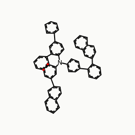 c1ccc(-c2ccc(N(c3ccc(-c4ccccc4-c4ccc5ccccc5c4)cc3)c3cccc(-c4ccc5ccccc5c4)c3)c(-c3ccccc3)c2)cc1